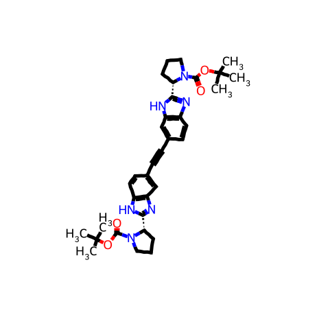 CC(C)(C)OC(=O)N1CCC[C@H]1c1nc2cc(C#Cc3ccc4nc([C@@H]5CCCN5C(=O)OC(C)(C)C)[nH]c4c3)ccc2[nH]1